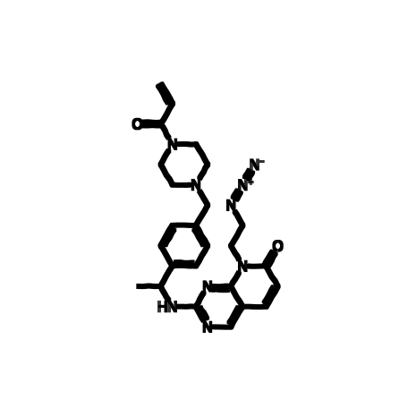 C=CC(=O)N1CCN(Cc2ccc(C(C)Nc3ncc4ccc(=O)n(CCN=[N+]=[N-])c4n3)cc2)CC1